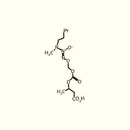 CC(C)CCN(C)[N+]([O-])=NOCOC(=O)OC(C)CC(=O)O